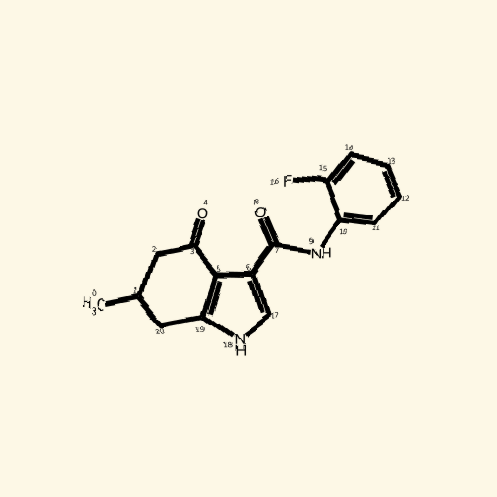 CC1CC(=O)c2c(C(=O)Nc3ccccc3F)c[nH]c2C1